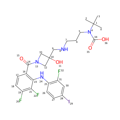 CC(C)(C)N(CCCNCC1(O)CN(C(=O)c2ccc(F)c(F)c2Nc2ccc(I)cc2F)C1)C(=O)O